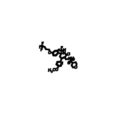 COc1ccc(C2=C(CNS(=O)(=O)C3CCOCC3)C(=O)N[C@@](c3ccc(OCCCC(F)(F)F)cc3)(C(F)(F)F)C2)nc1